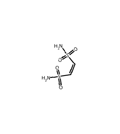 NS(=O)(=O)/C=C\S(N)(=O)=O